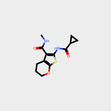 CNC(=O)c1c(NC(=O)C2CC2)sc2c1CCCO2